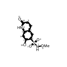 CONS(=O)(=O)c1cc2c[c]c(=O)[nH]c2cc1Cl